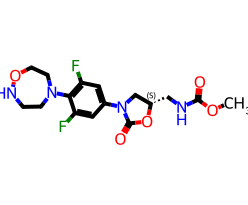 COC(=O)NC[C@H]1CN(c2cc(F)c(N3CCNOCC3)c(F)c2)C(=O)O1